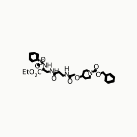 CCOC(=O)[C@H](CNC(=O)CCNC(=O)COC1CCN(C(=O)OCc2ccccc2)CC1)NS(=O)(=O)c1ccccc1